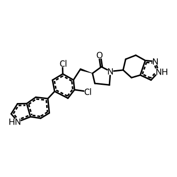 O=C1[C@H](Cc2c(Cl)cc(-c3ccc4[nH]ccc4c3)cc2Cl)CCN1C1CCc2n[nH]cc2C1